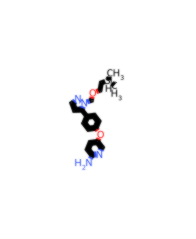 C[SiH](C)CCOCn1nccc1-c1ccc(Oc2ccc(N)nc2)cc1